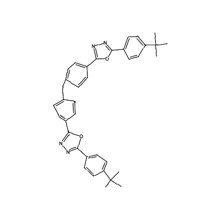 CC(C)(C)c1ccc(-c2nnc(-c3ccc(Cc4ccc(-c5nnc(-c6ccc(C(C)(C)C)cc6)o5)cc4)cc3)o2)cc1